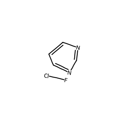 FCl.c1cncnc1